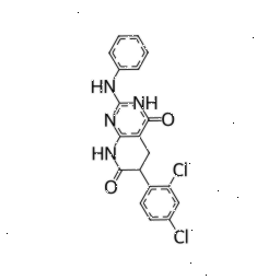 O=C1Nc2nc(Nc3ccccc3)[nH]c(=O)c2CC1c1ccc(Cl)cc1Cl